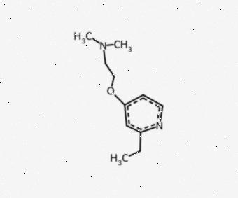 CCc1cc(OCCN(C)C)ccn1